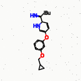 CCC(C)C(=N)C1C=CC(Oc2cccc(OCC3CC3)c2)=CN1